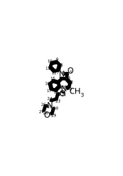 CC(C=C1C(=O)N(c2ccccc2)C1c1ccccc1)=NOCCCN1CCOCC1